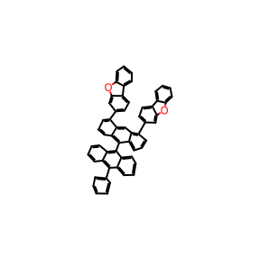 c1ccc(-c2c3ccccc3c(-c3c4cccc(-c5ccc6c(c5)oc5ccccc56)c4cc4c(-c5ccc6c(c5)oc5ccccc56)cccc34)c3ccccc23)cc1